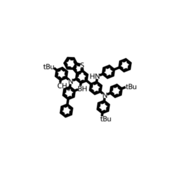 Cc1cc(C(C)(C)C)ccc1N1c2ccc(-c3ccccc3)cc2Bc2c(-c3ccc(N(c4ccc(C(C)(C)C)cc4)c4ccc(C(C)(C)C)cc4)cc3Nc3ccc(-c4ccccc4)cc3)cc3sc4ccccc4c3c21